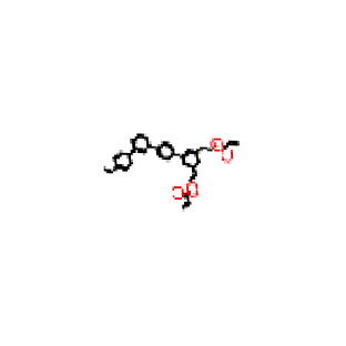 C=CC(=O)OCCc1cc(CCOC(=O)C=C)cc(-c2ccc(-c3cccc(-c4ccc(C=C)cc4)c3)cc2)c1